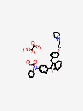 O=C(O)C(=O)O.O=CC(=O)N(c1ccccc1)c1ccc(-c2sc3ccccc3c2Cc2ccc(OCCN3CCCC3)cc2)cc1